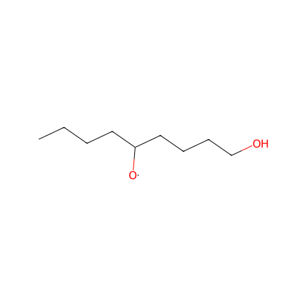 CCCCC([O])CCCCO